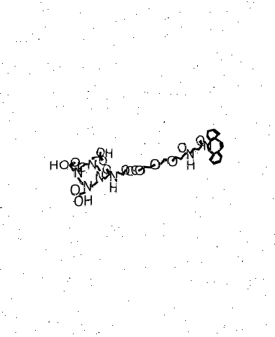 O=C(O)CN1CCN(CC(=O)O)CCN(CC(=O)NCCOCCOCCOCCOCCC(=O)NCCC(=O)N2Cc3ccccc3C#CC3=C2CCC=C3)CCN(CC(=O)O)CC1